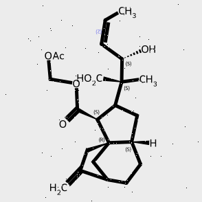 C=C1C[C@]23CC1CC[C@H]2CC([C@](C)(C(=O)O)[C@@H](O)/C=C\C)[C@@H]3C(=O)OCOC(C)=O